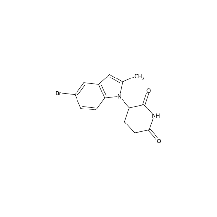 Cc1cc2cc(Br)ccc2n1C1CCC(=O)NC1=O